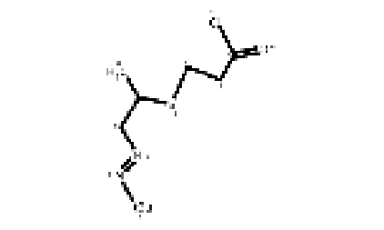 CC(C/N=N/C(C)(C)C)SCCC(=O)Cl